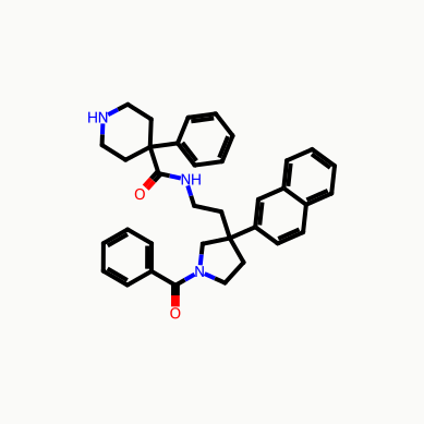 O=C(c1ccccc1)N1CCC(CCNC(=O)C2(c3ccccc3)CCNCC2)(c2ccc3ccccc3c2)C1